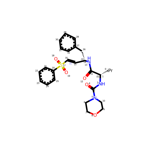 CC(C)[C@H](NC(=O)N1CCOCC1)C(=O)N[C@H](/C=C/S(=O)(=O)c1ccccc1)Cc1ccccc1